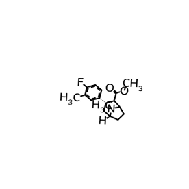 COC(=O)C1C2CC[C@H](C[C@@H]1c1ccc(F)c(C)c1)N2C